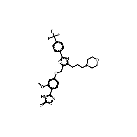 COc1cc(OCc2sc(-c3ccc(C(F)(F)F)cc3)nc2CCCN2CCOCC2)ccc1-c1noc(=O)[nH]1